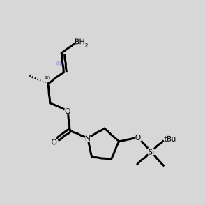 B/C=C/[C@@H](C)COC(=O)N1CCC(O[Si](C)(C)C(C)(C)C)C1